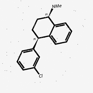 CN[C@@H]1CC[C@H](c2cccc(Cl)c2)c2ccccc21